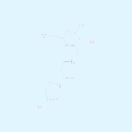 COc1cc(Br)c(O)c(CN2CCC(N3CCC(O)CC3)CC2)c1